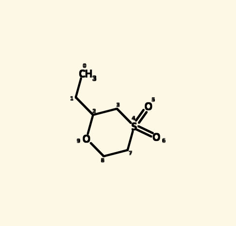 CCC1CS(=O)(=O)CCO1